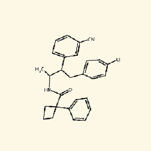 CC(NC(=O)C1(c2ccccc2)CCC1)C(Cc1ccc(Cl)cc1)c1cccc(C#N)c1